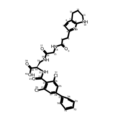 O=C(CCc1ccc2c(n1)NCCC2)NCC(=O)NC[C@@H](NC(=O)c1c(Cl)cc(-c2ccccc2)cc1Cl)C(=O)O